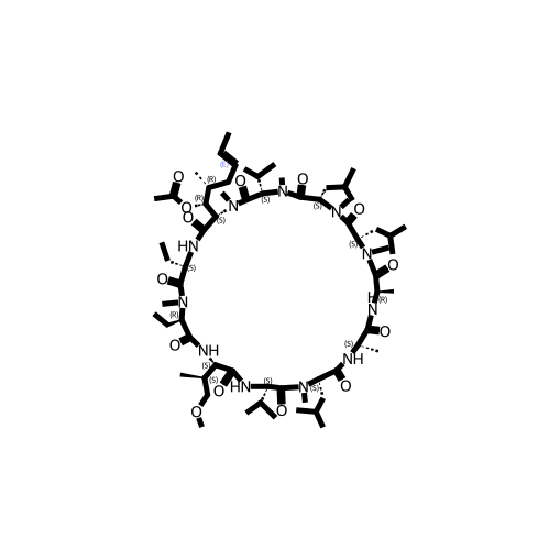 C/C=C/C[C@@H](C)[C@@H](OC(C)=O)[C@H]1C(=O)N[C@@H](CC)C(=O)N(C)[C@H](CC)C(=O)N[C@@H]([C@H](C)COC)C(=O)N[C@@H](C(C)C)C(=O)N(C)[C@@H](CC(C)C)C(=O)N[C@@H](C)C(=O)N[C@H](C)C(=O)N(C)[C@@H](CC(C)C)C(=O)N(C)[C@@H](CC(C)C)C(=O)N(C)[C@@H](C(C)C)C(=O)N1C